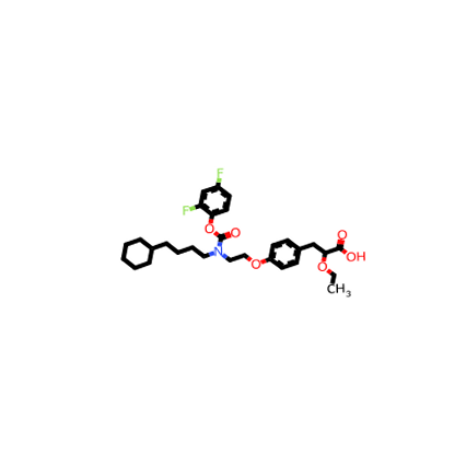 CCOC(Cc1ccc(OCCN(CCCCC2CCCCC2)C(=O)Oc2ccc(F)cc2F)cc1)C(=O)O